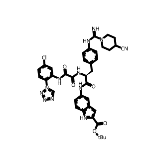 CC(C)(C)OC(=O)c1cc2cc(NC(=O)[C@H](Cc3ccc(NC(=N)N4CCC(C#N)CC4)cc3)NC(=O)C(=O)Nc3cc(Cl)ccc3-n3cnnn3)ccc2[nH]1